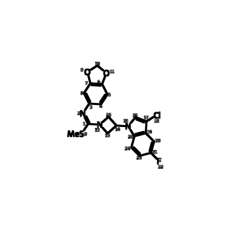 CS/C(=N/c1ccc2c(c1)OCO2)N1CC(n2cc(Cl)c3cc(F)ccc32)C1